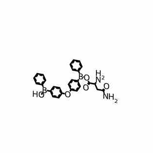 NC(=O)CC(N)C(=O)OB(c1ccccc1)c1ccc(Oc2ccc(B(O)c3ccccc3)cc2)cc1